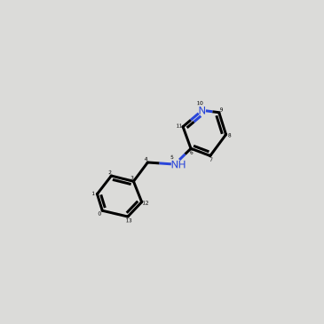 c1ccc(CNc2cccnc2)cc1